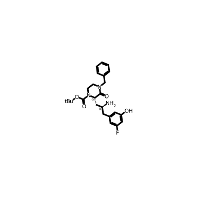 CC(C)(C)OC(=O)N1CCN(Cc2ccccc2)C(=O)[C@@H]1C[C@@H](N)Cc1cc(O)cc(F)c1